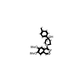 COc1cc2cnnc(N3CCC(O)(c4ccc(C)cc4)CC3)c2cc1OC